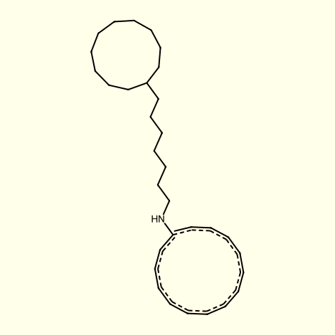 c1ccccccc(NCCCCCCCC2CCCCCCCCCC2)cccccc1